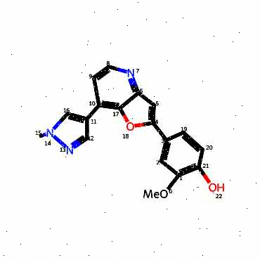 COc1cc(-c2cc3nccc(-c4cnn(C)c4)c3o2)ccc1O